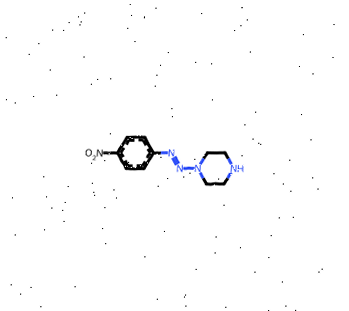 O=[N+]([O-])c1ccc(/N=N/N2CCNCC2)cc1